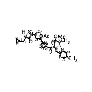 COC(=O)[C@@H](C)C[C@H](Cc1ncc(C)cn1)NC(=O)c1csc([C@@H](CC(C(C)C)N(C)C(=O)CCC2CC2)OC(C)=O)n1